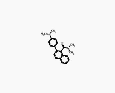 CN(C)C(=O)c1c(-c2ccc(N(C)C)cc2)ccc2ccccc12